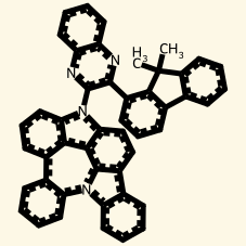 CC1(C)c2ccccc2-c2cccc(-c3nc4ccccc4nc3-n3c4cccc5c6ccccc6n6c7ccccc7c7ccc3c(c54)c76)c21